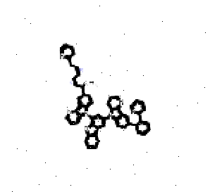 CC(/C=C\C=C/Cc1ccc#cn1)c1ccc2c(c1)c1ncccc1n2-c1cc(-n2c3ccc(-c4ccccc4-c4ccccn4)cc3c3ncccc32)cc2c1oc1ccccc12